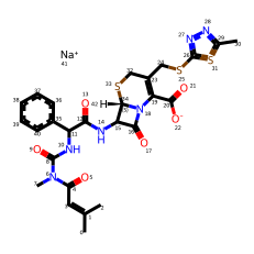 CC(C)=CC(=O)N(C)C(=O)NC(C(=O)NC1C(=O)N2C(C(=O)[O-])=C(CSc3nnc(C)s3)CS[C@@H]12)c1ccccc1.[Na+]